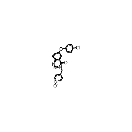 O=c1c2cc(Oc3ccc(Cl)cc3)ccc2nnn1Cc1cc[n+]([O-])cc1